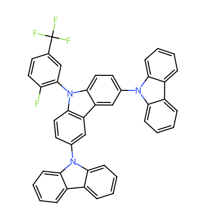 Fc1ccc(C(F)(F)F)cc1-n1c2ccc(-n3c4ccccc4c4ccccc43)cc2c2cc(-n3c4ccccc4c4ccccc43)ccc21